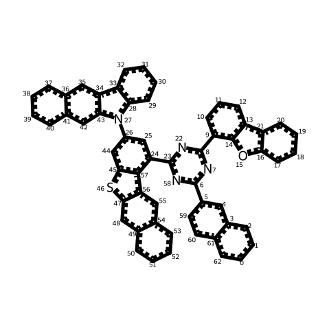 c1ccc2cc(-c3nc(-c4cccc5c4oc4ccccc45)nc(-c4cc(-n5c6ccccc6c6cc7ccccc7cc65)cc5sc6cc7ccccc7cc6c45)n3)ccc2c1